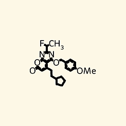 COc1ccc(COc2nc(C(C)F)nc3oc(=O)cc(CCC4CCCC4)c23)cc1